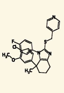 COc1cc(C2(C)CCCc3nc(SCc4ccncc4)n(-c4ccc(F)cc4)c32)ccc1Cl